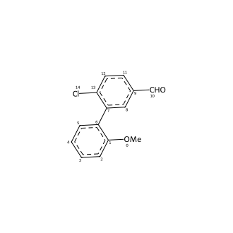 COc1ccccc1-c1cc(C=O)ccc1Cl